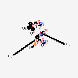 CCCCCCCCCCCCCCCCCCCCCCOc1ccc(CNC(=O)CCC(=O)O)c(OCCCCCCCCCCCCCCCCCCCCCC)c1[C@@H]1C[C@H](n2cc(C)c(=O)[nH]c2=O)O[C@@H]1CO/P=[O+]/CCC#N.COc1ccc(C(OC[C@@H]2CC[C@H](n3cc(C)c(=O)[nH]c3=O)O2)(c2ccccc2)c2ccc(OC)cc2)cc1